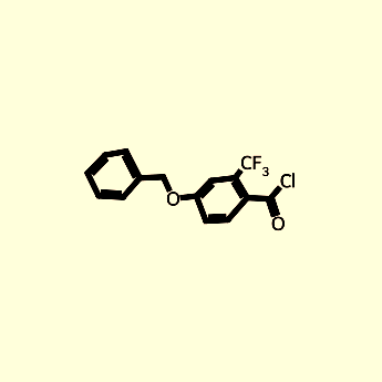 O=C(Cl)c1ccc(OCc2ccccc2)cc1C(F)(F)F